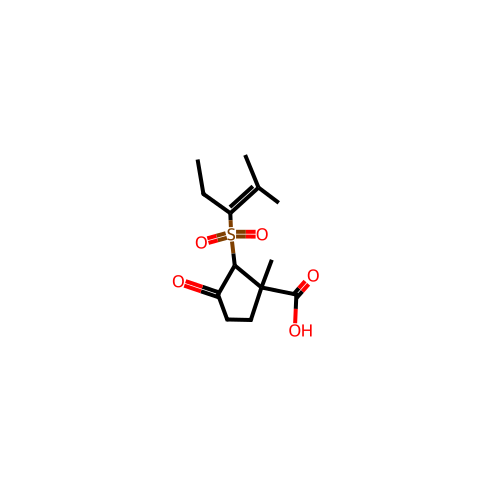 CCC(=C(C)C)S(=O)(=O)C1C(=O)CCC1(C)C(=O)O